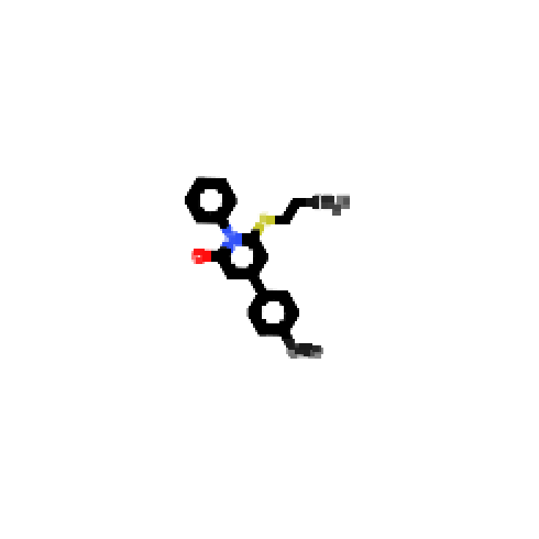 COc1ccc(-c2cc(SCCC(=O)O)n(-c3ccccc3)c(=O)c2)cc1